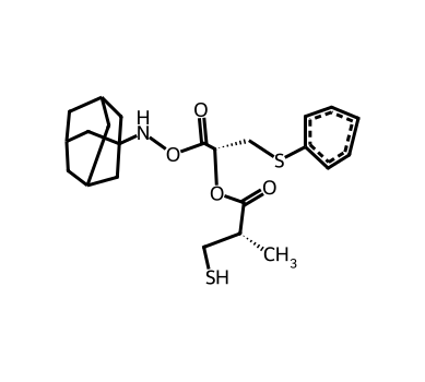 C[C@H](CS)C(=O)O[C@@H](CSc1ccccc1)C(=O)ONC12CC3CC(CC(C3)C1)C2